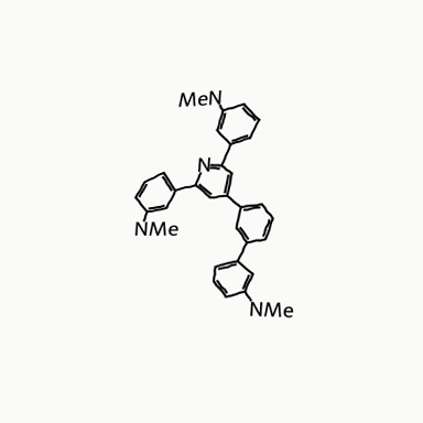 CNc1cccc(-c2cccc(-c3cc(-c4cccc(NC)c4)nc(-c4cccc(NC)c4)c3)c2)c1